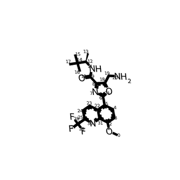 COc1ccc(-c2nc(C(=O)N[C@H](C)C(C)(C)C)c(CN)o2)c2ccc(C(F)(F)F)nc12